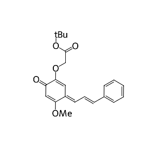 COC1=CC(=O)C(OCC(=O)OC(C)(C)C)=CC1=CC=Cc1ccccc1